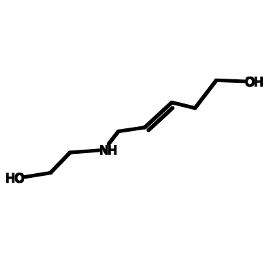 OCCC=CCNCCO